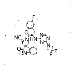 N#C[C@@H]1C[C@@]2(CN1C(=O)[C@H](Cc1cccc(F)c1)Nc1ncnc(N3CC(F)(F)C3)n1)C(=O)Nc1ccccc12